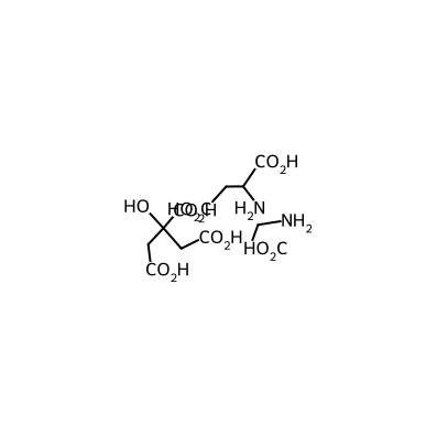 NC(CC(=O)O)C(=O)O.NCC(=O)O.O=C(O)CC(O)(CC(=O)O)C(=O)O